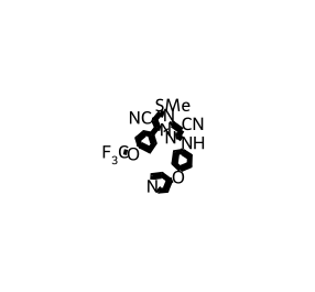 CSc1nc2c(C#N)c(Nc3ccc(Oc4ccncc4)cc3)nn2c(-c2ccc(OC(F)(F)F)cc2)c1C#N